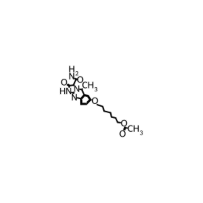 CC(=O)OCCCCCCCOc1ccc2c(c1)C(C)N1C(=N2)NC(=O)C1C(N)=O